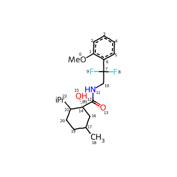 COc1ccccc1C(F)(F)CNC(=O)[C@@]1(O)CC(C)CCC1C(C)C